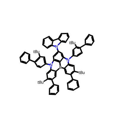 CC(C)(C)c1cc(N2c3cc(C(C)(C)C)c(-c4ccccc4)cc3B3c4cc(-c5ccccc5)c(C(C)(C)C)cc4N(c4ccc(-c5ccccc5)c(C(C)(C)C)c4)c4cc(-n5c6ccccc6c6ccccc65)cc2c43)ccc1-c1ccccc1